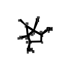 C[C@H]1[C@@H]2[C@H]1[C@@H](O)C[C@H]2N